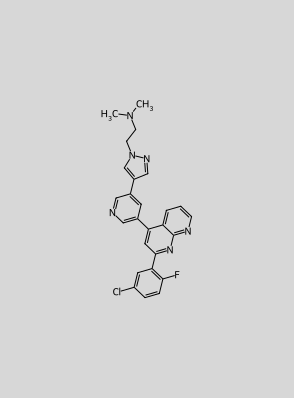 CN(C)CCn1cc(-c2cncc(-c3cc(-c4cc(Cl)ccc4F)nc4ncccc34)c2)cn1